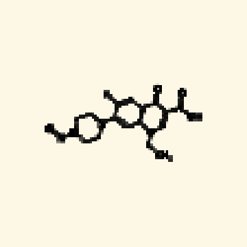 CCn1cc(C(=O)O)c(=O)c2cc(F)c(N3CCN(N=O)CC3)cc21